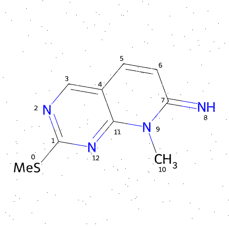 CSc1ncc2ccc(=N)n(C)c2n1